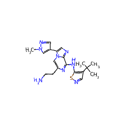 Cn1cc(-c2cnc3c(Nc4sncc4C(C)(C)C)nc(CCN)cn23)cn1